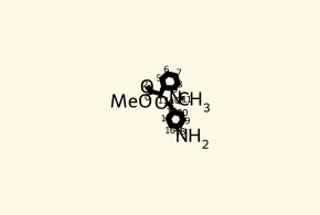 COC(=O)Cc1ccccc1N(C)C(=O)c1ccc(N)cc1